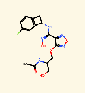 CC(=O)NC(CO)COc1nonc1C(=NO)N[C@H]1Cc2ccc(F)cc21